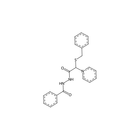 O=C(NNC(=O)C(SCc1ccccc1)[n+]1ccccc1)c1ccccc1